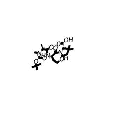 C[C@@H](C(=O)N[C@H]1CCO[C@H]2CC(C)(C)[C@@H](C(=O)O)N2C1=O)N(C)C(=O)OC(C)(C)C